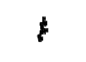 Cc1n[nH]c2cccc(OC[C@@H](O)CNCCOc3ccccn3)c12